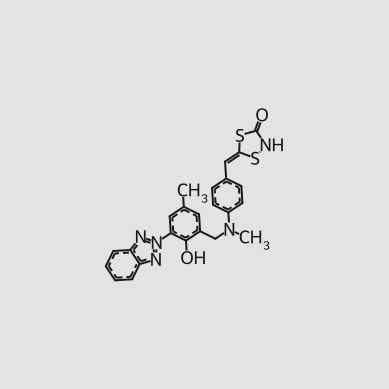 Cc1cc(CN(C)c2ccc(C=C3SNC(=O)S3)cc2)c(O)c(-n2nc3ccccc3n2)c1